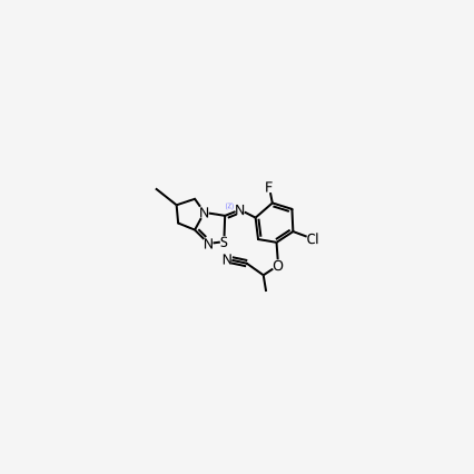 CC1Cc2ns/c(=N\c3cc(OC(C)C#N)c(Cl)cc3F)n2C1